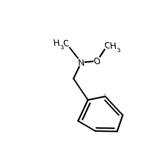 CON(C)Cc1[c]cccc1